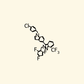 Fc1cc(F)c(Cn2nc3c(C(F)(F)F)cccc3c2-c2ccc3c(ccn3Cc3ccc(Cl)cc3)c2)c(F)c1